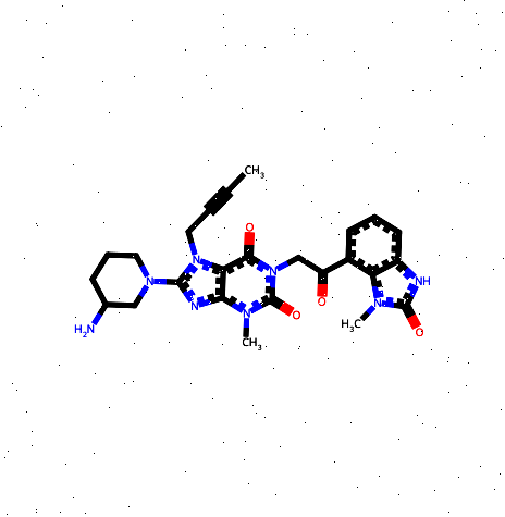 CC#CCn1c(N2CCCC(N)C2)nc2c1c(=O)n(CC(=O)c1cccc3[nH]c(=O)n(C)c13)c(=O)n2C